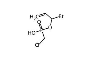 C=CC(CC)OP(=O)(O)CCl